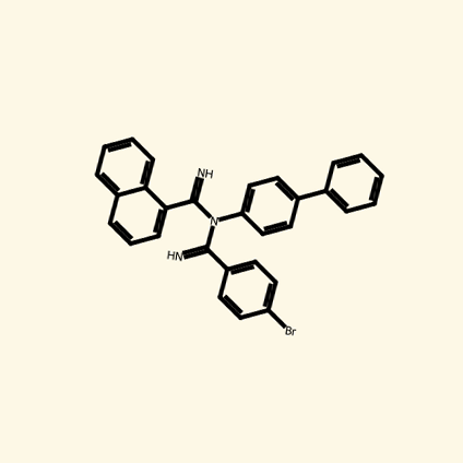 N=C(c1ccc(Br)cc1)N(C(=N)c1cccc2ccccc12)c1ccc(-c2ccccc2)cc1